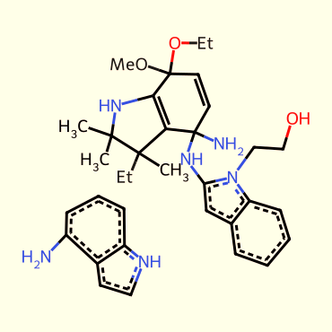 CCOC1(OC)C=CC(N)(Nc2cc3ccccc3n2CCO)C2=C1NC(C)(C)C2(C)CC.Nc1cccc2[nH]ccc12